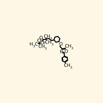 Cc1ccc(-c2nc(COC3CCCC(CCC(C)(C)C(=O)OC(C)(C)C)C3)c(C)o2)cc1